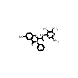 CC(Nc1nc(N)nc(N)c1C#N)c1nc2ccc(C#N)cc2c(=O)n1-c1ccccc1